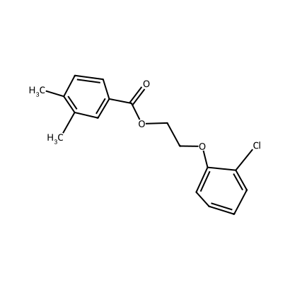 Cc1ccc(C(=O)OCCOc2ccccc2Cl)cc1C